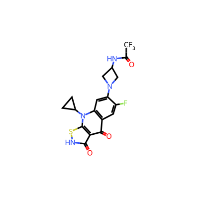 O=C(NC1CN(c2cc3c(cc2F)c(=O)c2c(=O)[nH]sc2n3C2CC2)C1)C(F)(F)F